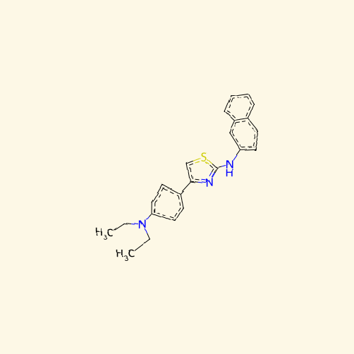 CCN(CC)c1ccc(-c2csc(Nc3ccc4ccccc4c3)n2)cc1